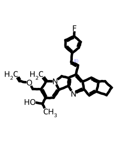 C=COCC1=C(C(C)O)C=C2c3nc4cc5c(cc4c(/C=C/c4ccc(F)cc4)c3CN2C1=C)CCC5